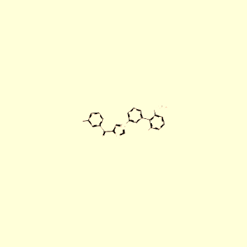 COc1cccc(F)c1-c1cccc(-n2cnc(C(=O)c3cccc(F)c3)c2)c1